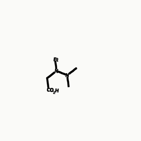 CCN(CC(=O)O)N(C)C